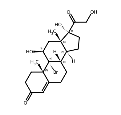 C[C@]12CCC(=O)C=C1CC[C@H]1[C@@H]3CC[C@](O)(C(=O)CO)[C@@]3(C)C[C@H](O)[C@@]12Br